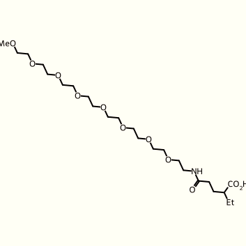 CCC(CCC(=O)NCCOCCOCCOCCOCCOCCOCCOCCOC)C(=O)O